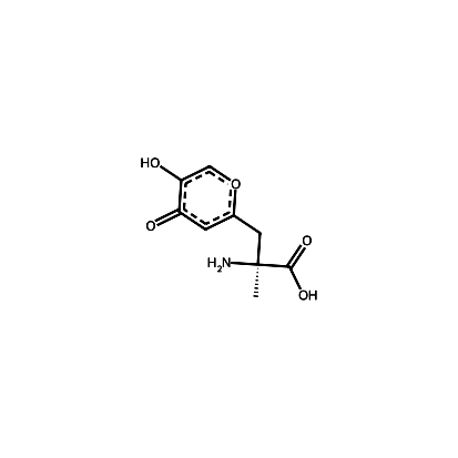 C[C@](N)(Cc1cc(=O)c(O)co1)C(=O)O